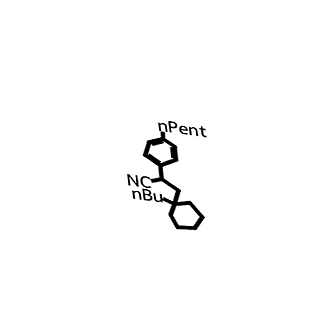 CCCCCc1ccc(C(C#N)CC2(CCCC)CCCCC2)cc1